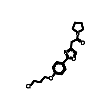 O=C(Cc1coc(-c2ccc(OCCCCl)cc2)n1)N1CCCC1